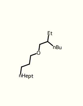 CCCCCCCCCCOCC(CC)CCCC